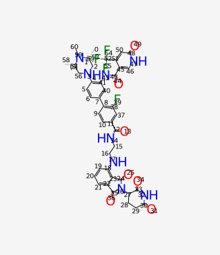 C[C@@H]1CN(c2ccc(-c3ccc(C(=O)NCCNc4cccc5c4C(=O)N(C4CCC(=O)NC4=O)C5=O)cc3F)cc2NC(=O)c2c[nH]c(=O)cc2C(F)(F)F)C[C@H](C)N1C